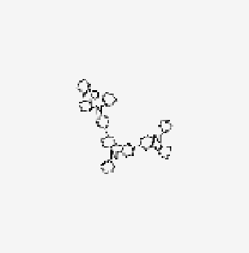 c1ccc(N(c2ccc(-c3ccc4c(c3)c3cc(-c5ccc6c(c5)c5ccccc5n6-c5ccccc5)ccc3n4-c3ccccc3)cc2)c2cccc3c2oc2ccccc23)cc1